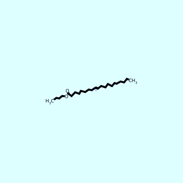 CCCCCCCCCC/C=C/CCCCCCCC(=O)OCCCC